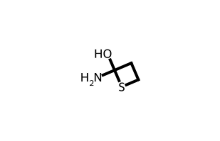 NC1(O)CCS1